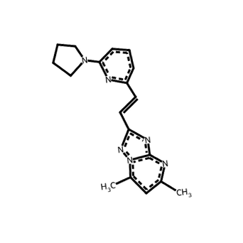 Cc1cc(C)n2nc(/C=C/c3cccc(N4CCCC4)n3)nc2n1